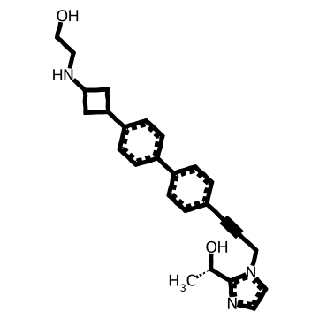 C[C@H](O)c1nccn1CC#Cc1ccc(-c2ccc(C3CC(NCCO)C3)cc2)cc1